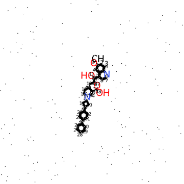 COc1ccc2nccc([C@@H](O)CC[C@@H]3CCN(C4CC(c5ccc(-c6ccccc6)cc5)C4)C[C@@H]3C(=O)O)c2c1